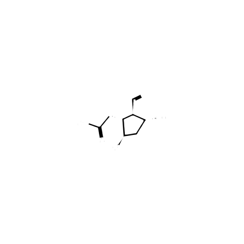 O=C[C@@H]1[C@@H](CC(=O)O)[C@H](Cl)C[C@H]1O